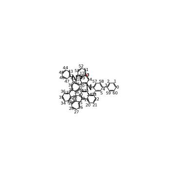 c1ccc(-c2ccc(N(c3ccccc3)c3cc4c(c5ccccc35)-c3ccccc3C43c4ccccc4-c4cc(N(c5ccccc5)c5ccccc5)ccc43)cc2)cc1